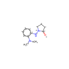 CN(C)c1ccccc1NN1CCCC1=O